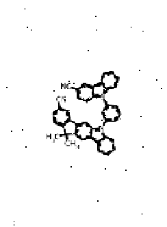 CC1(C)c2ccc(C#N)cc2-c2cc3c(cc21)c1ccccc1n3-c1cccc(-n2c3ccccc3c3cc(C#N)ccc32)c1